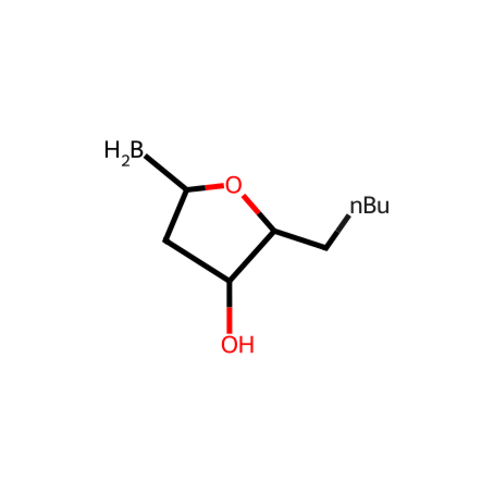 BC1CC(O)C(CCCCC)O1